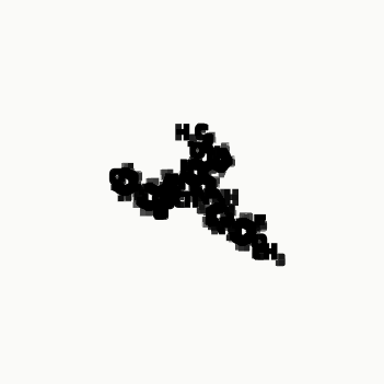 C=CC(=O)N1CCCC1c1cnc(N2CC(C3CN(C4CCOCC4)CCS3(=O)=O)C2C)c2cnc(Nc3ccnc(N4CC[C@@H](OC)[C@@H](F)C4)n3)cc12